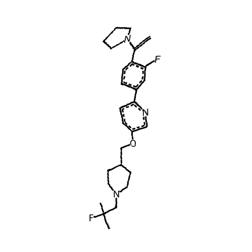 C=C(c1ccc(-c2ccc(OCC3CCN(CC(C)(C)F)CC3)cn2)cc1F)N1CCCC1